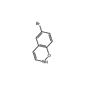 Brc1ccc2c(c1)C=CNO2